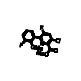 COC(=O)c1nc(-c2cccc(F)c2OC)c(F)cc1Cl